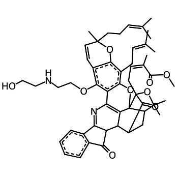 COC(=O)/C(C)=C\CC12OC(C)(C)C3CC(C1=O)C1C4=C(N=C5c6ccccc6C(=O)C51)c1c(OCCNCCO)c5c(c(CC=C(C)C)c1OC432)OC(C)(CCC=C(C)C)C=C5